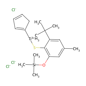 Cc1cc(O[Si](C)(C)C)c([S][Ti+3][C]2=CC=CC2)c(C(C)(C)C)c1.[Cl-].[Cl-].[Cl-]